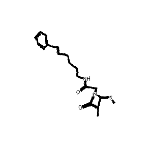 CSC1C(C)C(=O)N1CC(=O)NCCCCCCc1ccccc1